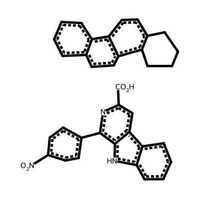 O=C(O)c1cc2c([nH]c3ccccc32)c(-c2ccc([N+](=O)[O-])cc2)n1.c1ccc2c(c1)ccc1c3c(ccc12)CCCC3